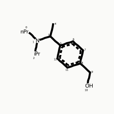 CCCN(C(C)C)C(C)c1ccc(CO)cc1